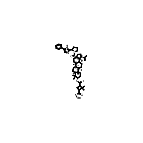 C=C(C)[C@@H]1CC[C@]2(C(=O)N3CCCC3c3ncc(-c4ccccc4)[nH]3)CC[C@]3(C)C(CC[C@@H]4C5(C)CC[C@H](OC(=O)C6CC(C(=O)OCCCC)C6(C)C)C(C)(C)[C@@H]5CC[C@]43C)[C@@H]12